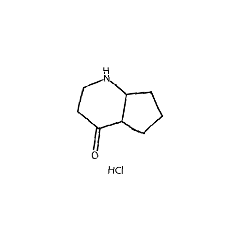 Cl.O=C1CCNC2CCCC12